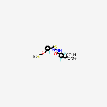 CCSCCOCc1cccc(-c2csc(NC(=O)c3cc(F)c(C=C(OC)C(=O)O)c(F)c3)n2)c1F